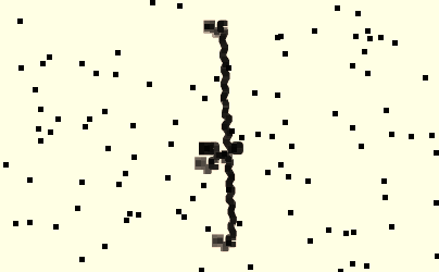 CCCCCCCCCCCCCCCCCC(=O)N(CCCCCCCCCCCC)C(C)O